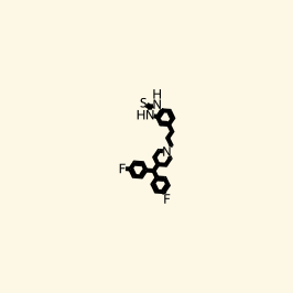 Fc1ccc(C(c2ccc(F)cc2)C2CCN(CCCc3ccc4[nH]c(=S)[nH]c4c3)CC2)cc1